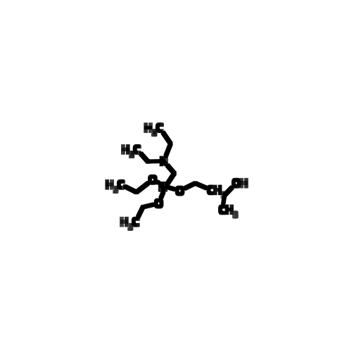 CCO.CCO[Si](CN(CC)CC)(OCC)OCC